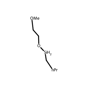 CCCC[SiH2]OCCOC